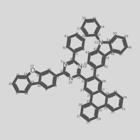 c1ccc(-c2nc(-c3ccc4c(c3)oc3ccccc34)nc(-c3cc4c5ccccc5c5ccccc5c4cc3-c3ccc4c(c3)c3ccccc3n4-c3ccccc3)n2)cc1